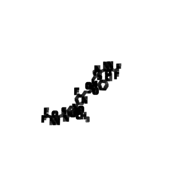 CS(=O)(=O)N(Cc1cnc(-c2nnc(C(F)F)o2)s1)c1cnc(CCS(=O)(=O)N(Cc2cnc(-c3nnc(C(F)F)o3)s2)c2cccc(Cl)c2)c(F)c1